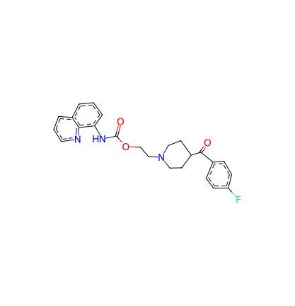 O=C(Nc1cccc2cccnc12)OCCN1CCC(C(=O)c2ccc(F)cc2)CC1